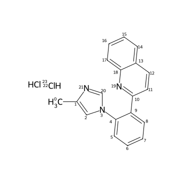 Cc1cn(-c2ccccc2-c2ccc3ccccc3n2)cn1.Cl.Cl